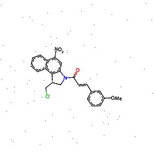 COc1cccc(C=CC(=O)N2CC(CCl)c3c2cc([N+](=O)[O-])c2ccccc32)c1